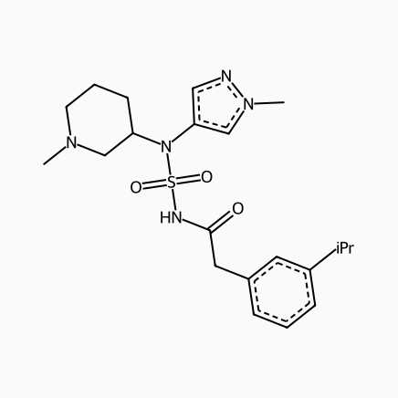 CC(C)c1cccc(CC(=O)NS(=O)(=O)N(c2cnn(C)c2)C2CCCN(C)C2)c1